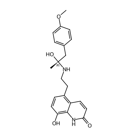 COc1ccc(C[C@@](C)(O)NCCc2ccc(O)c3[nH]c(=O)ccc23)cc1